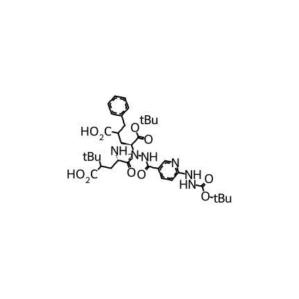 CC(C)(C)OC(=O)NNc1ccc(C(=O)NN(C(=O)[C@@H](N)CC(C(=O)O)C(C)(C)C)[C@@H](CC(Cc2ccccc2)C(=O)O)C(=O)OC(C)(C)C)cn1